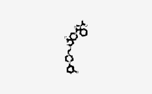 CC(=O)N(C)C1(C(=O)N2CCC3(CC2)C[C@H](CCN2CCN(c4cccc(Cl)c4)CC2)OC3=O)CCCCC1